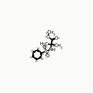 COC(=O)C(C)(C)NS(=O)(=O)c1ccccc1